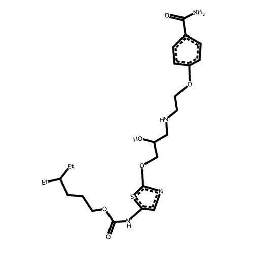 CCC(CC)CCCOC(=O)Nc1cnc(OCC(O)CNCCOc2ccc(C(N)=O)cc2)s1